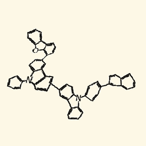 c1ccc(-n2c3ccc(-c4ccc5c(c4)c4ccccc4n5-c4ccc(-c5ccc6ccccc6c5)cc4)cc3c3cc(-c4cccc5c4oc4ccccc45)ccc32)cc1